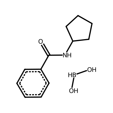 O=C(NC1CCCC1)c1ccccc1.OBO